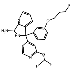 NC1NC(c2cccc(OCCCF)c2)(c2ccnc(OC(F)F)c2)c2cccnc21